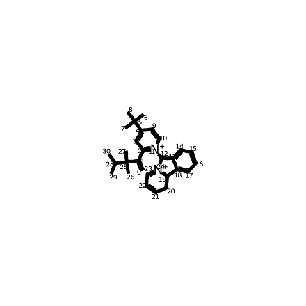 C=C(c1cc(C(C)(C)C)cc[n+]1C1c2ccccc2C2CC=CC=[N+]21)C(C)(C)C(C)C